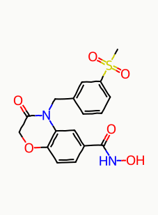 CS(=O)(=O)c1cccc(CN2C(=O)COc3ccc(C(=O)NO)cc32)c1